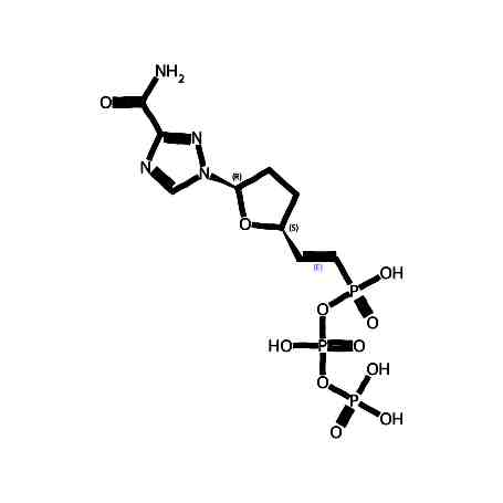 NC(=O)c1ncn([C@H]2CC[C@@H](/C=C/P(=O)(O)OP(=O)(O)OP(=O)(O)O)O2)n1